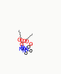 CCCCCCCC(=O)OCC(COC(=O)CCCCCCC)OCn1cnc2cnc(N(c3ccc(OC)cc3)C(c3ccccc3)c3ccccc3)nc21